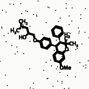 COc1ccc2c(c1)OC(C)(C)[C@@H](c1ccccc1)[C@@H]2c1ccc(OC[C@@H](O)CN(C)C)cc1